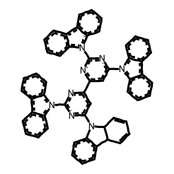 C1=CC2c3ccccc3N(c3cc(-c4cc(-n5c6ccccc6c6ccccc65)nc(-n5c6ccccc6c6ccccc65)n4)nc(-n4c5ccccc5c5ccccc54)n3)C2C=C1